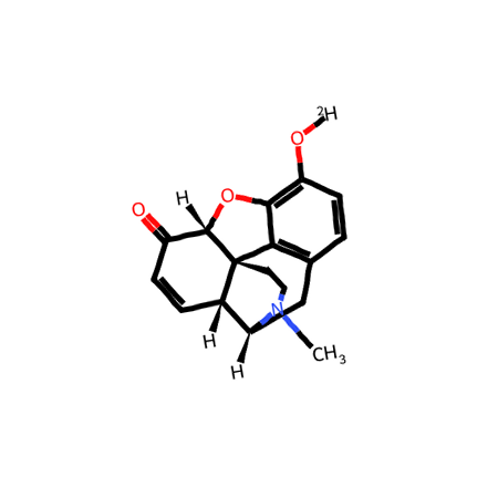 [2H]Oc1ccc2c3c1O[C@H]1C(=O)C=C[C@H]4[C@@H](C2)N(C)CC[C@]314